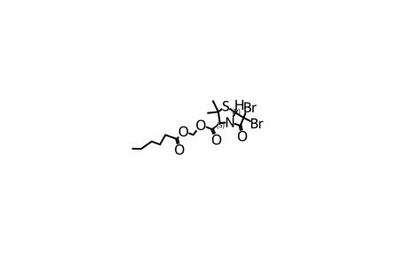 CCCCCC(=O)OCOC(=O)[C@@H]1N2C(=O)C(Br)(Br)[C@H]2SC1(C)C